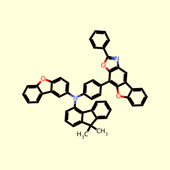 CC1(C)c2ccccc2-c2c(N(c3ccc(-c4c5oc(-c6ccccc6)nc5cc5c4oc4ccccc45)cc3)c3ccc4oc5ccccc5c4c3)cccc21